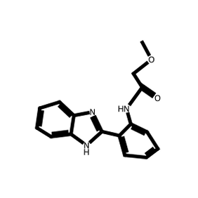 COCC(=O)Nc1ccccc1-c1nc2ccccc2[nH]1